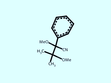 COC(C)(C)C(C#N)(OC)c1ccccc1